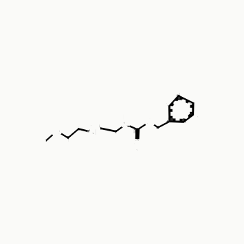 COCCNCCNC(=O)OCc1ccccc1